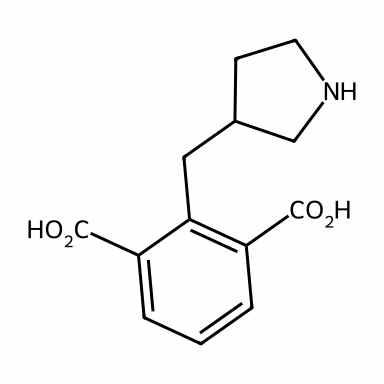 O=C(O)c1cccc(C(=O)O)c1CC1CCNC1